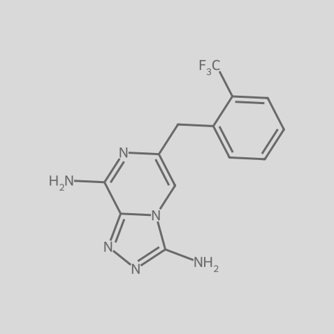 Nc1nc(Cc2ccccc2C(F)(F)F)cn2c(N)nnc12